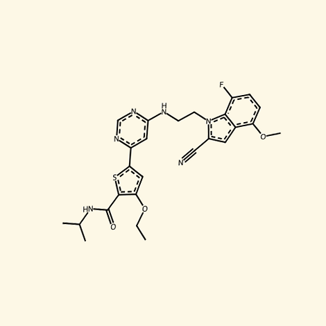 CCOc1cc(-c2cc(NCCn3c(C#N)cc4c(OC)ccc(F)c43)ncn2)sc1C(=O)NC(C)C